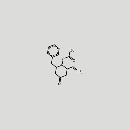 C=CC1CC(=O)CC(Cc2ccccc2)N1OC(=O)C(C)(C)C